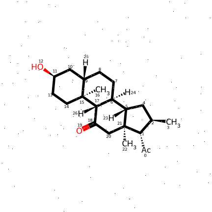 CC(=O)[C@H]1[C@H](C)C[C@H]2[C@@H]3CC[C@H]4C[C@H](O)CC[C@]4(C)[C@H]3C(=O)C[C@@]21C